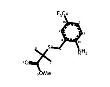 COC(=O)C(C)(C)SCc1cc(C(F)(F)F)ccc1N